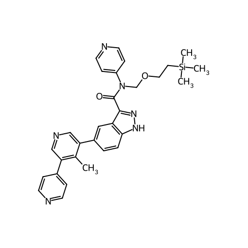 Cc1c(-c2ccncc2)cncc1-c1ccc2[nH]nc(C(=O)N(COCC[Si](C)(C)C)c3ccncc3)c2c1